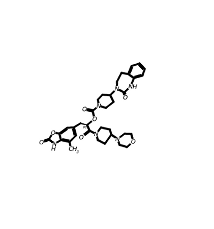 Cc1cc(C[C@@H](OC(=O)N2CCC(N3CCc4ccccc4NC3=O)CC2)C(=O)N2CCC(N3CCOCC3)CC2)cc2oc(=O)[nH]c12